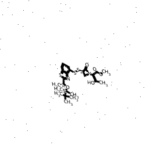 COC(=O)C(=C(C)O)N1C[C@@H](SSc2cccc3sc([C@@H](C)O[Si](C)(C)C(C)(C)C)nc23)C1=O